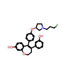 Oc1cccc(C2=C(c3ccc(O[C@H]4CCN(CCCF)C4)cc3)c3ccc(O)cc3OCC2)c1